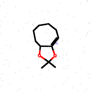 CC1(C)O/C2=C/CCCCCC2O1